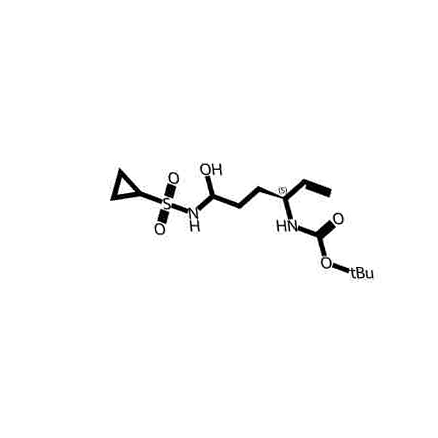 C=C[C@H](CCC(O)NS(=O)(=O)C1CC1)NC(=O)OC(C)(C)C